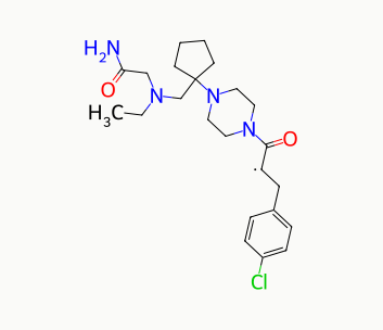 CCN(CC(N)=O)CC1(N2CCN(C(=O)[CH]Cc3ccc(Cl)cc3)CC2)CCCC1